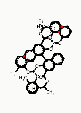 Cc1ccccc1OP(Oc1ccccc1C)Oc1c(C(=O)OC(C)C)cc2ccccc2c1-c1c(OP(Oc2ccccc2C)Oc2ccccc2C)c(C(=O)OC(C)C)cc2ccccc12